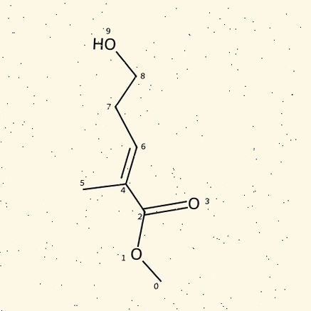 COC(=O)/C(C)=C/CCO